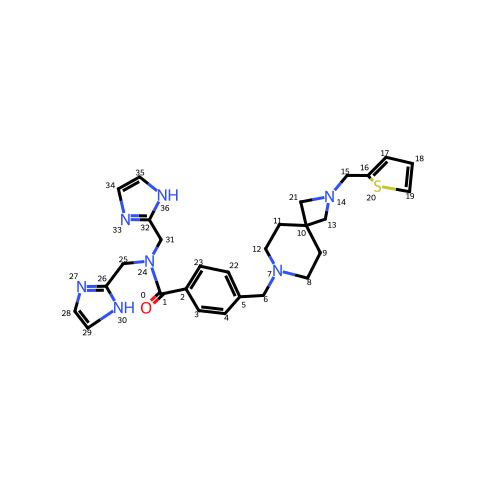 O=C(c1ccc(CN2CCC3(CC2)CN(Cc2cccs2)C3)cc1)N(Cc1ncc[nH]1)Cc1ncc[nH]1